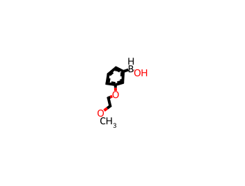 COCCOc1cccc(BO)c1